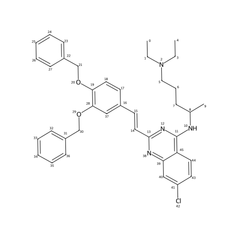 CCN(CC)CCCC(C)Nc1nc(/C=C/c2ccc(OCc3ccccc3)c(OCc3ccccc3)c2)nc2cc(Cl)ccc12